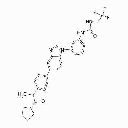 CC(C(=O)N1CCCC1)c1ccc(-c2ccc3c(c2)ncn3-c2cccc(NC(=O)NCC(F)(F)F)c2)cc1